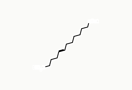 CCCCCCCCCCCCCCC=CCCCC(=O)O